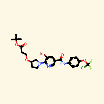 CC(C)(C)OC(=O)CCOC1CCN(c2ncc(C(=O)Nc3ccc(OC(F)(F)Cl)cc3)cc2Br)C1